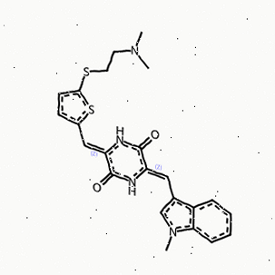 CN(C)CCSc1ccc(/C=c2\[nH]c(=O)/c(=C/c3cn(C)c4ccccc34)[nH]c2=O)s1